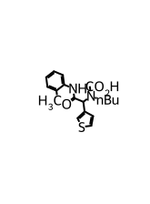 CCCCN(C(=O)O)C(C(=O)Nc1ccccc1C)c1ccsc1